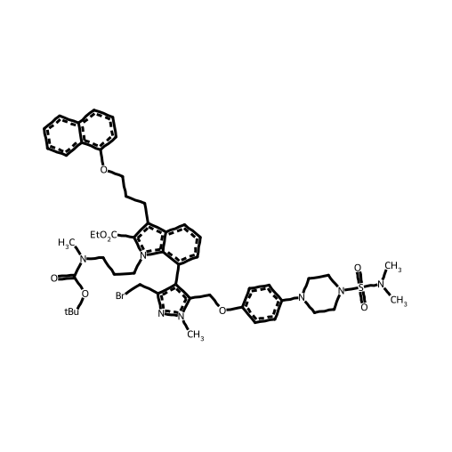 CCOC(=O)c1c(CCCOc2cccc3ccccc23)c2cccc(-c3c(CBr)nn(C)c3COc3ccc(N4CCN(S(=O)(=O)N(C)C)CC4)cc3)c2n1CCCN(C)C(=O)OC(C)(C)C